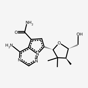 C[C@@H]1[C@@H](CO)O[C@@H](c2cc(C(N)=O)c3c(N)ncnn23)C1(C)C